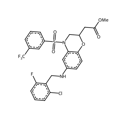 COC(=O)CC1CN(S(=O)(=O)c2cccc(C(F)(F)F)c2)c2cc(NCc3c(F)cccc3Cl)ccc2O1